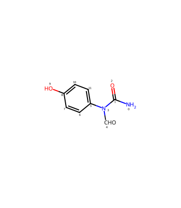 NC(=O)N(C=O)c1ccc(O)cc1